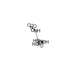 O=C(NCCCCCCNC1=NN(O)c2ccccc2N1O)c1cccc2cc3ccccc3nc12